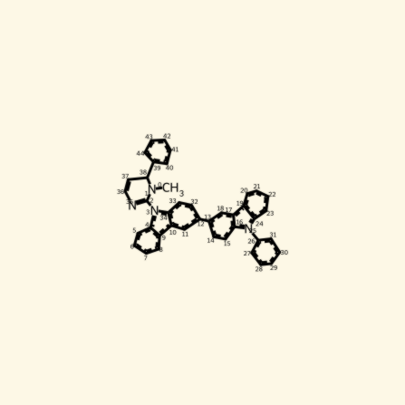 CN1C(n2c3ccccc3c3cc(-c4ccc5c(c4)c4ccccc4n5-c4ccccc4)ccc32)=NC=CC1c1ccccc1